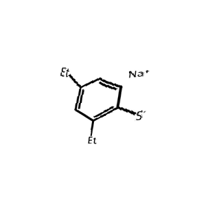 CCc1ccc([S-])c(CC)c1.[Na+]